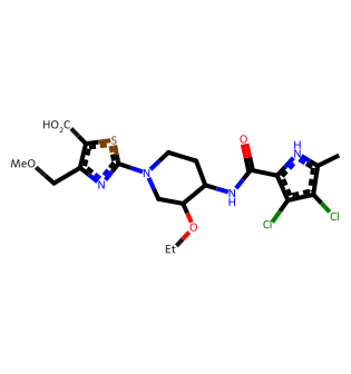 CCOC1CN(c2nc(COC)c(C(=O)O)s2)CCC1NC(=O)c1[nH]c(C)c(Cl)c1Cl